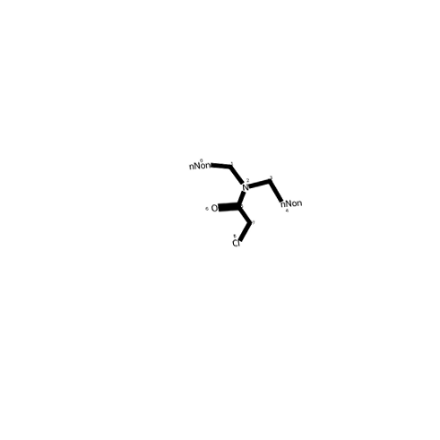 CCCCCCCCCCN(CCCCCCCCCC)C(=O)CCl